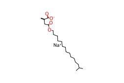 C=C(CC(=O)OCCCCCCCCCCCCCC(C)C)C(=O)[O-].[Na+]